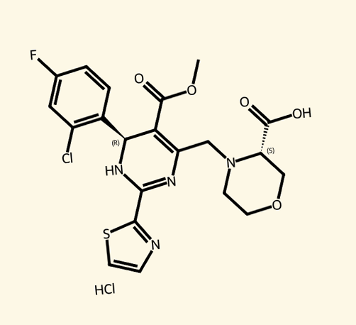 COC(=O)C1=C(CN2CCOC[C@H]2C(=O)O)N=C(c2nccs2)N[C@H]1c1ccc(F)cc1Cl.Cl